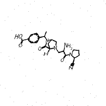 CC(c1ccc(C(=O)O)cc1)N1C(=O)[C@@H]2CC1CN2CC(N)C(=O)N1CCCC1C#N